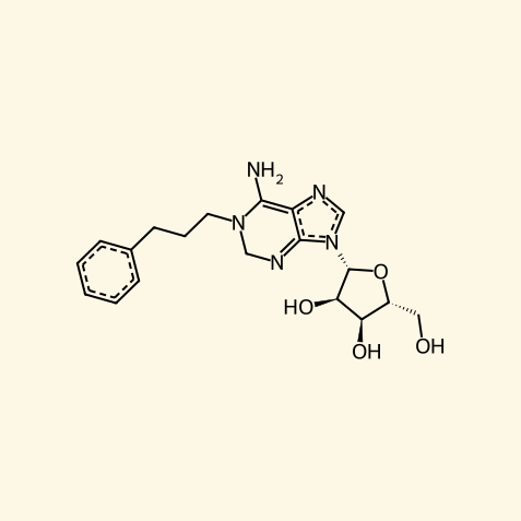 NC1=c2ncn([C@@H]3O[C@H](CO)[C@@H](O)[C@H]3O)c2=NCN1CCCc1ccccc1